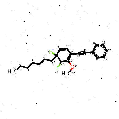 CCCCCCCC1(F)C=CC(C#Cc2ccccc2)=C(OC)C1F